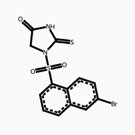 O=C1CN(S(=O)(=O)c2cccc3cc(Br)ccc23)C(=S)N1